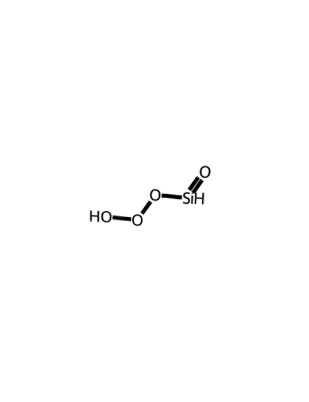 O=[SiH]OOO